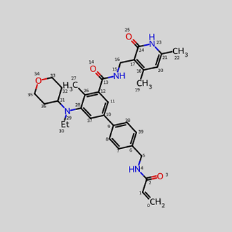 C=CC(=O)NCc1ccc(-c2cc(C(=O)NCc3c(C)cc(C)[nH]c3=O)c(C)c(N(CC)C3CCOCC3)c2)cc1